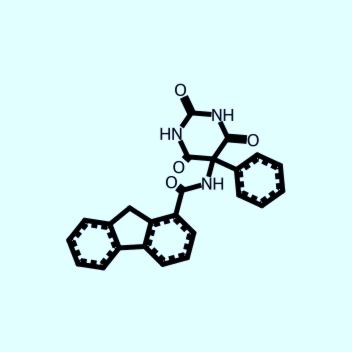 O=C1NC(=O)C(NC(=O)c2cccc3c2Cc2ccccc2-3)(c2ccccc2)C(=O)N1